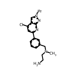 CC(C)n1cc2c(Cl)cc(-c3cccc(CN(C)CCN)c3)nc2n1